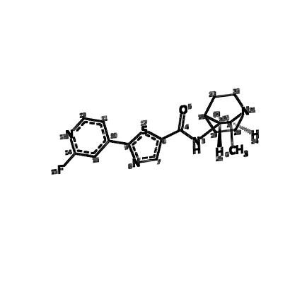 C[C@H]1[C@H](NC(=O)c2cnc(-c3ccnc(F)c3)s2)C2CCN1CC2